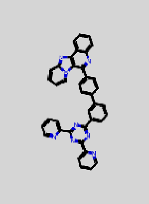 c1ccc(-c2nc(-c3cccc(-c4ccc(-c5nc6ccccc6c6nc7ccccn7c56)cc4)c3)nc(-c3ccccn3)n2)nc1